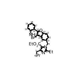 CCOC(=O)c1c(CC(C)C)nc(CC)n1Cc1ccc2oc(-c3ccccc3N)c(Br)c2c1